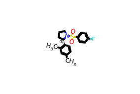 Cc1ccc([C@@H]2CCCN2S(=O)(=O)c2ccc(F)cc2)c(C)c1